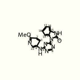 COc1ccc(Nc2ncnc(-n3c(=O)[nH]c4ccccc43)n2)cn1